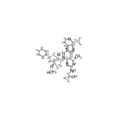 Cc1nc(NCC2(O)CC2)nc(N[C@@H]2C[C@H](CO)[C@H]3CC(c4ccccc4)C[C@H]32)c1-c1nc2c(C3CC3)nccc2s1